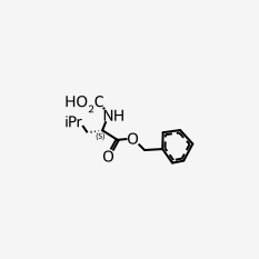 CC(C)C[C@H](NC(=O)O)C(=O)OCc1ccccc1